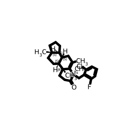 CC1=C2[C@](C)(CCC(=O)[N+]2(C)Cc2c(F)cccc2Cl)[C@H]2CC[C@]3(C)CCC[C@H]3[C@@H]2C1